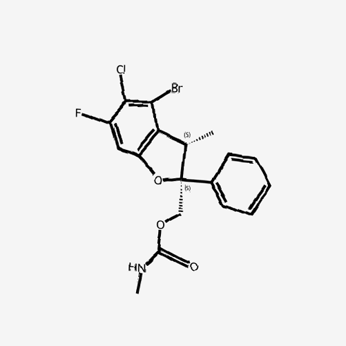 CNC(=O)OC[C@]1(c2ccccc2)Oc2cc(F)c(Cl)c(Br)c2[C@@H]1C